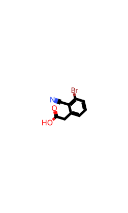 N#Cc1c(Br)cccc1CC(=O)O